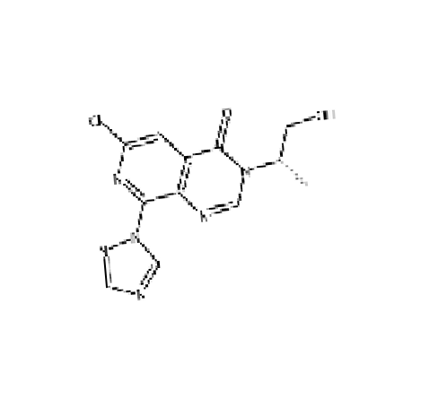 C[C@@H](CO)n1cnc2c(-n3cncn3)nc(Cl)cc2c1=O